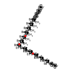 CC[n+]1c(C)csc1Br.CC[n+]1c(C)csc1Br.CC[n+]1c(C)csc1Br.CC[n+]1c(C)csc1Br.CC[n+]1c(C)csc1Br.CC[n+]1c(C)csc1Br.CC[n+]1c(C)csc1Br.CC[n+]1c(C)csc1Br.CC[n+]1c(C)csc1Br.CC[n+]1c(C)csc1Br.CC[n+]1c(C)csc1Br.CC[n+]1c(C)csc1Br.[O]=[Sb]([O-])([O-])[Cl].[O]=[Sb]([O-])([O-])[Cl].[O]=[Sb]([O-])([O-])[Cl].[O]=[Sb]([O-])([O-])[Cl].[O]=[Sb]([O-])([O-])[Cl].[O]=[Sb]([O-])([O-])[Cl]